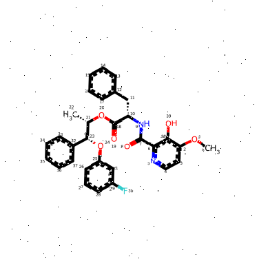 COc1ccnc(C(=O)N[C@@H](Cc2ccccc2)C(=O)O[C@@H](C)[C@H](Oc2cccc(F)c2)c2ccccc2)c1O